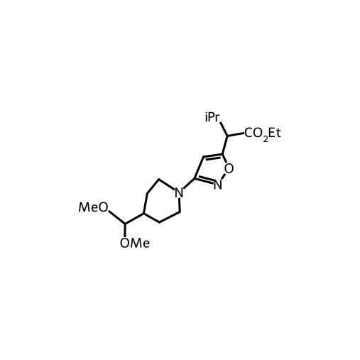 CCOC(=O)C(c1cc(N2CCC(C(OC)OC)CC2)no1)C(C)C